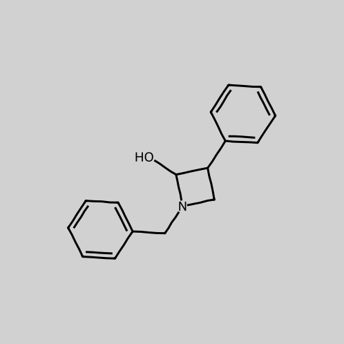 OC1C(c2ccccc2)CN1Cc1ccccc1